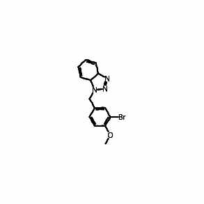 COc1ccc(CN2N=NC3C=CC=CC32)cc1Br